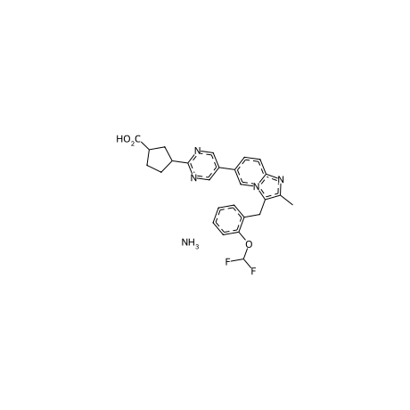 Cc1nc2ccc(-c3cnc(C4CCC(C(=O)O)C4)nc3)cn2c1Cc1ccccc1OC(F)F.N